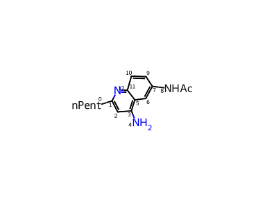 CCCCCc1cc(N)c2cc(NC(C)=O)ccc2n1